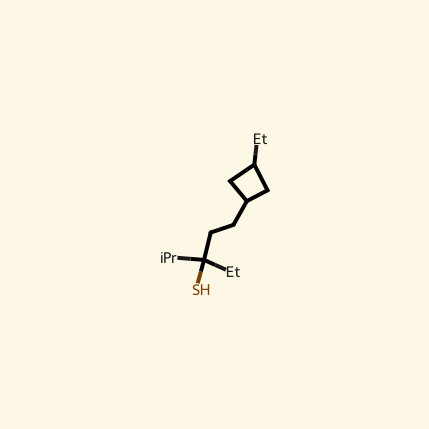 CCC1CC(CCC(S)(CC)C(C)C)C1